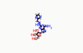 Nc1nc(NN=Cc2cnccn2)nc2c1ncn2[C@@H]1O[C@H](CO)[C@@H](O)[C@H]1O